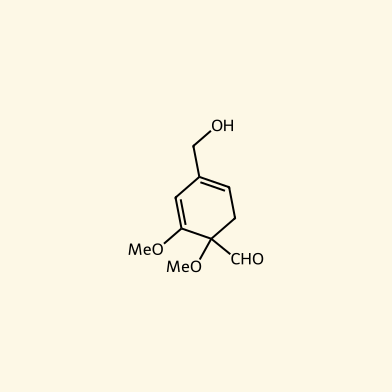 COC1=CC(CO)=CCC1(C=O)OC